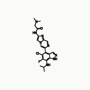 CC(C)Nc1c(F)c(Cl)c(-c2cn3cc(NC(=O)CN(C)C)nc3cn2)c2cn[nH]c12